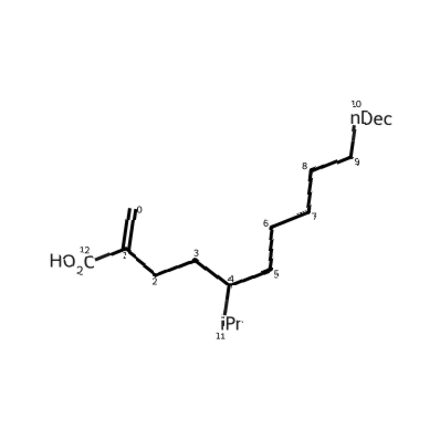 C=C(CCC(CCCCCCCCCCCCCCC)C(C)C)C(=O)O